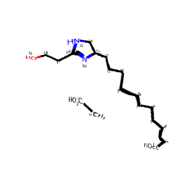 CC(=O)O.CCCCCCCC/C=C\CCCCCCCCC1CNC(CCO)=N1